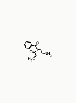 C=CC(=O)N(CCN)C(=O)c1ccccc1